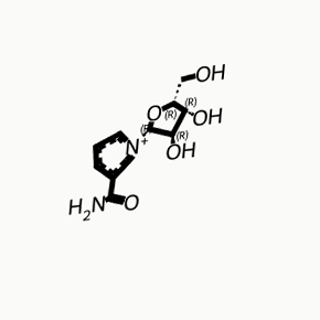 NC(=O)c1ccc[n+]([C@@H]2O[C@H](CO)[C@H](O)[C@H]2O)c1